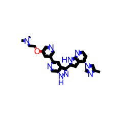 Cc1cn(-c2ccnc3[nH]c(-c4n[nH]c5cnc(-c6cncc(OCCN(C)C)c6)cc45)cc23)cn1